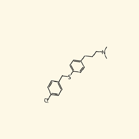 CN(C)CCCc1ccc(SCc2ccc(Cl)cc2)cc1